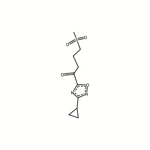 CS(=O)(=O)CC[CH]C(=O)c1nc(C2CC2)no1